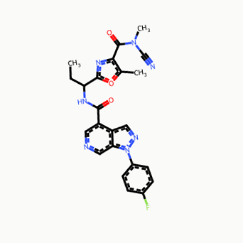 CCC(NC(=O)c1cncc2c1cnn2-c1ccc(F)cc1)c1nc(C(=O)N(C)C#N)c(C)o1